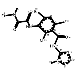 CCN(C)C(=O)C(=O)Nc1c(Br)cc(F)c(C(=O)Nc2nnnn2C)c1Cl